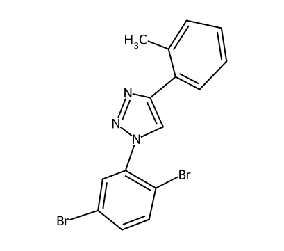 Cc1ccccc1-c1cn(-c2cc(Br)ccc2Br)nn1